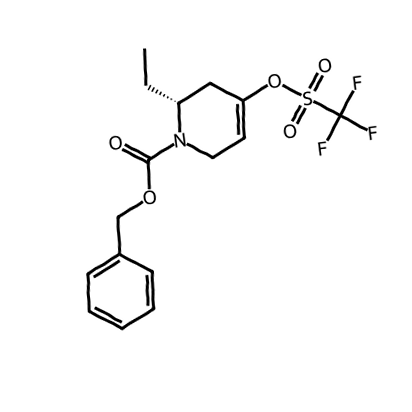 CC[C@@H]1CC(OS(=O)(=O)C(F)(F)F)=CCN1C(=O)OCc1ccccc1